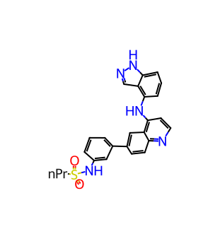 CCCS(=O)(=O)Nc1cccc(-c2ccc3nccc(Nc4cccc5[nH]ncc45)c3c2)c1